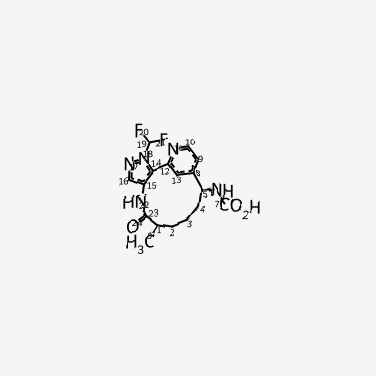 C[C@@H]1CCC[C@H](NC(=O)O)c2ccnc(c2)-c2c(cnn2C(F)F)NC1=O